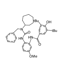 COc1ccc(NC(=O)N(Cc2ccccc2)C2CCCCCC2)c(NC(=O)c2cc(C(C)(C)C)c(O)c(C(C)(C)C)c2)c1